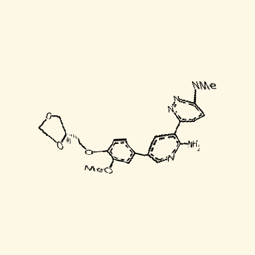 CNc1ccc(-c2cc(-c3ccc(OC[C@H]4COCCO4)c(OC)c3)cnc2N)nn1